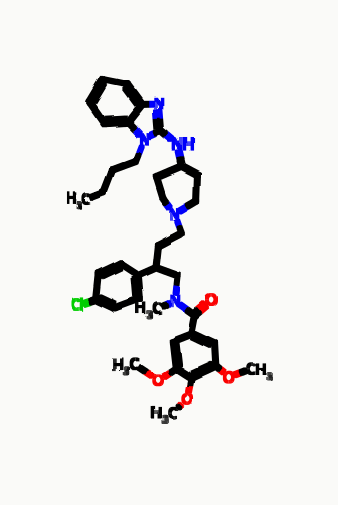 CCCCn1c(NC2CCN(CCC(CN(C)C(=O)c3cc(OC)c(OC)c(OC)c3)c3ccc(Cl)cc3)CC2)nc2ccccc21